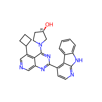 O[C@@H]1CCN(c2nc(-c3ccnc4[nH]c5ccccc5c34)nc3cncc(C4CCC4)c23)C1